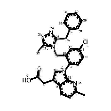 Cc1ccc2c(CC(=O)O)cn(-c3ccc(Cl)cc3Cn3c(C)nnc3Cc3ccccc3)c2n1